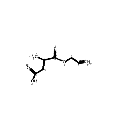 C=CCOC(=O)C(C)CC(=O)O